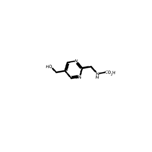 O=C(O)NCc1ncc(CO)cn1